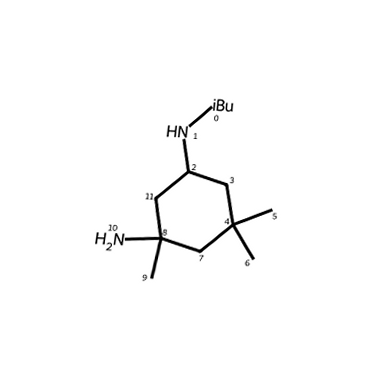 CCC(C)NC1CC(C)(C)CC(C)(N)C1